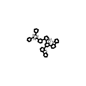 C[C@]12O[C@@H]3C=CC=C(c4cccc(-c5nc(-c6ccccc6)nc(-c6ccccc6)n5)c4)C3C1=CC(c1cccc3c1sc1ccccc13)=CC2c1cccc2c1sc1ccccc12